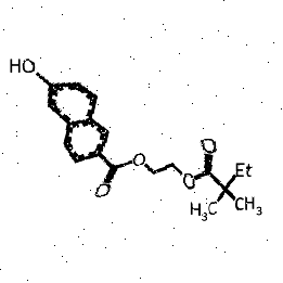 CCC(C)(C)C(=O)OCCOC(=O)c1ccc2cc(O)ccc2c1